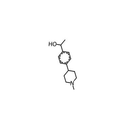 CC(O)c1ccc(C2CCN(C)CC2)cc1